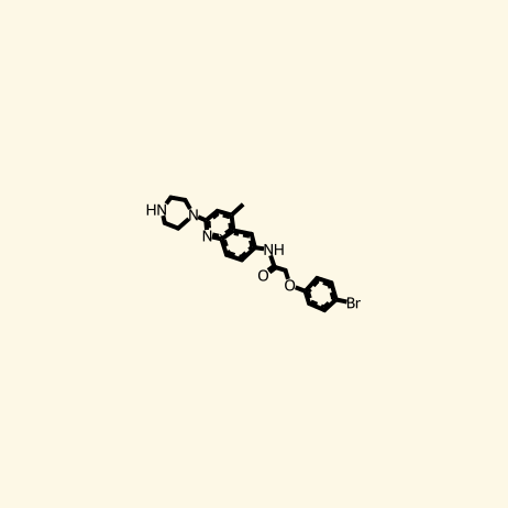 Cc1cc(N2CCNCC2)nc2ccc(NC(=O)COc3ccc(Br)cc3)cc12